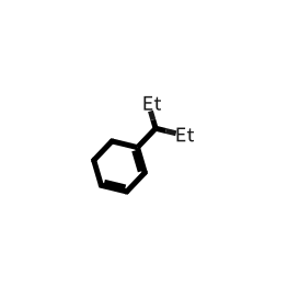 CCC(CC)C1=CC=CCC1